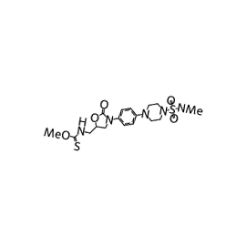 CNS(=O)(=O)N1CCN(c2ccc(N3CC(CNC(=S)OC)OC3=O)cc2)CC1